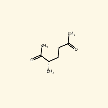 C[C@@H](C[CH]C(N)=O)C(N)=O